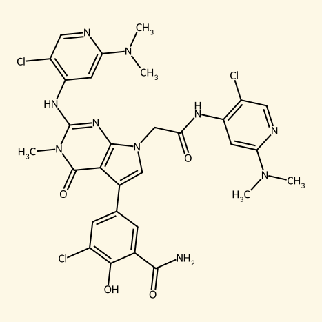 CN(C)c1cc(NC(=O)Cn2cc(-c3cc(Cl)c(O)c(C(N)=O)c3)c3c(=O)n(C)c(Nc4cc(N(C)C)ncc4Cl)nc32)c(Cl)cn1